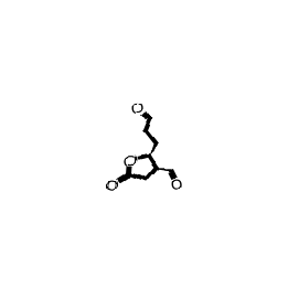 O=CCC[C@@H]1OC(=O)C[C@@H]1C=O